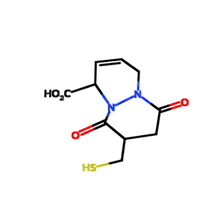 O=C(O)C1C=CCN2C(=O)CC(CS)C(=O)N12